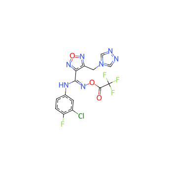 O=C(ON=C(Nc1ccc(F)c(Cl)c1)c1nonc1Cn1cnnc1)C(F)(F)F